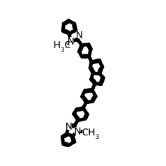 Cn1c(-c2ccc(-c3ccc(-c4ccc5ccc(-c6ccc(-c7nc8ccccc8n7C)cc6)cc5c4)cc3)cc2)nc2ccccc21